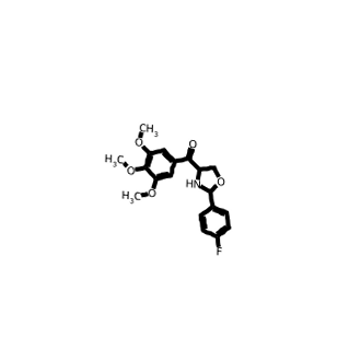 COc1cc(C(=O)C2COC(c3ccc(F)cc3)N2)cc(OC)c1OC